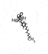 CCCCCCCCc1ccc(CCC2(CO)COC(=O)N2)cc1